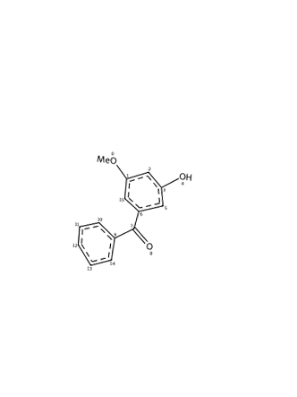 COc1cc(O)cc(C(=O)c2ccccc2)c1